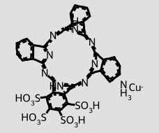 N.O=S(=O)(O)c1c(S(=O)(=O)O)c(S(=O)(=O)O)c2c3nc4nc(nc5[nH]c(nc6nc(nc([nH]3)c2c1S(=O)(=O)O)-c1ccccc1-6)c1ccccc51)-c1ccccc1-4.[Cu]